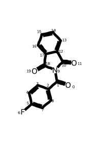 O=C(c1ccc(F)cc1)N1C(=O)c2ccccc2C1=O